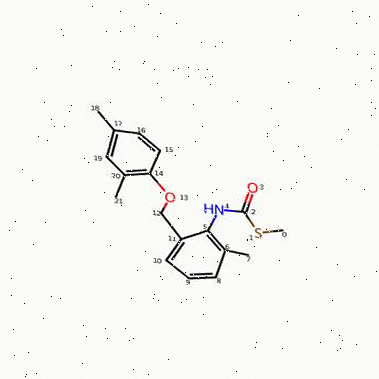 CSC(=O)Nc1c(C)cccc1COc1ccc(C)cc1C